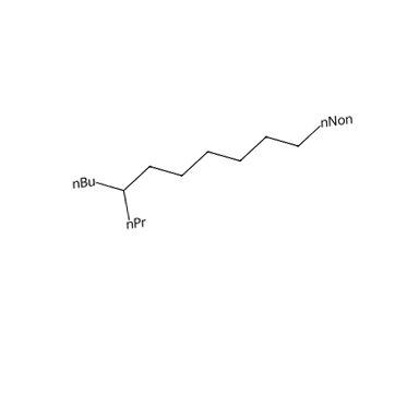 [CH2]CCCC(CCC)CCCCCCCCCCCCCCC